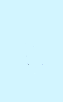 C=CCOC(=O)c1cnc(SC)nc1Cl